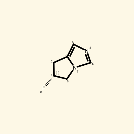 F[C@@H]1Cc2cncn2C1